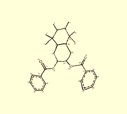 CC1C(C)C(C)(C)C2CC(OC(=O)c3ccccc3)C(OC(=O)c3ccccc3)CC2C1(C)C